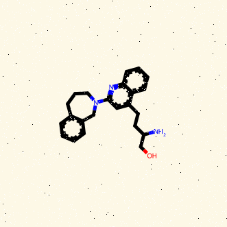 NC(CO)CCc1cc(N2CCCc3ccccc3C2)nc2ccccc12